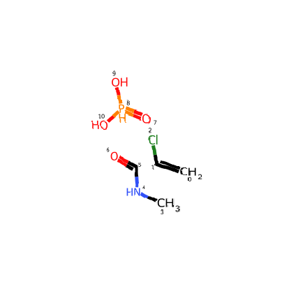 C=CCl.CNC=O.O=[PH](O)O